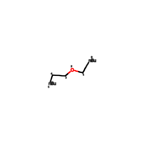 CCCC[CH]OCCCCCC